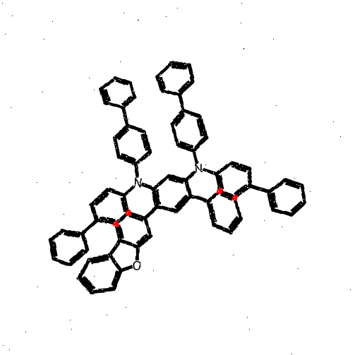 c1ccc(-c2ccc(N(c3ccc(-c4ccccc4)cc3)c3cc(N(c4ccc(-c5ccccc5)cc4)c4ccc(-c5ccccc5)cc4)c(-c4ccc5c(c4)oc4ccccc45)cc3-c3ccccc3)cc2)cc1